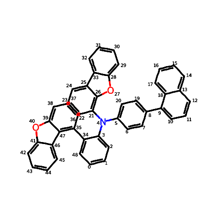 c1ccc(N(c2ccc(-c3cccc4ccccc34)cc2)c2cccc3c2oc2ccccc23)c(-c2cccc3oc4ccccc4c23)c1